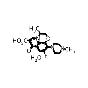 C[C@H]1COc2c(N3CCN(C)CC3)c(F)cc3c(=O)c(C(=O)O)cn1c23.O